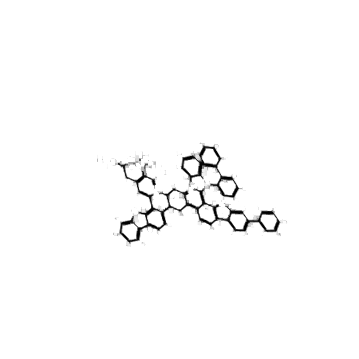 CC(C)Cc1cc2[n+](cc1[Si](C)(C)C)C1Cc3c(c4ccc5c6ccc(-c7ccccc7)cc6sc5c4c4n(-c5ccccc5-c5ccccc5)c5ccccc5[n+]34)CC1c1ccc3c(oc4ccccc43)c1-2